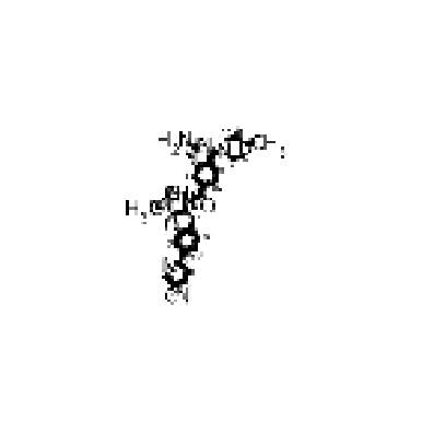 CN1CCN(c2nc(N)nc3cc(C(=O)N[C@@H](Cc4ccc(-c5ccc(C#N)cn5)cc4)C(=O)N(C)C)ccc23)CC1